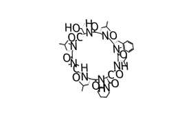 CC(C)C[C@@H]1NC(=O)CN(C)C(=O)[C@H](CC(C)C)N(C)C(=O)C[C@H]([C@@H](C)O)NC(=O)[C@H](CC(C)C)N(C)C(=O)[C@H](Cc2ccccc2)N(C)C(=O)[C@H](C(C)C)NC(=O)C[C@@H](C(=O)N2CCCCC2)NC1=O